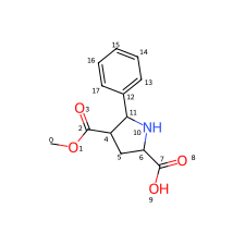 COC(=O)C1CC(C(=O)O)NC1c1ccccc1